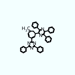 C[C@@H]1C=CC(c2nc(-c3ccccc3)nc(-c3ccccc3)n2)=CC(c2nc(-c3ccccc3)c(-c3ccccc3)nc2-c2ccccc2)C1